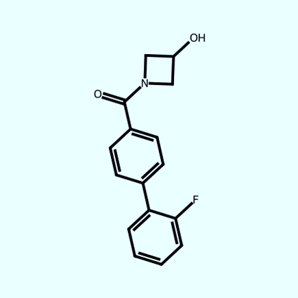 O=C(c1ccc(-c2ccccc2F)cc1)N1CC(O)C1